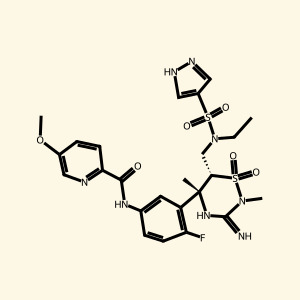 CCN(C[C@H]1[C@@](C)(c2cc(NC(=O)c3ccc(OC)cn3)ccc2F)NC(=N)N(C)S1(=O)=O)S(=O)(=O)c1cn[nH]c1